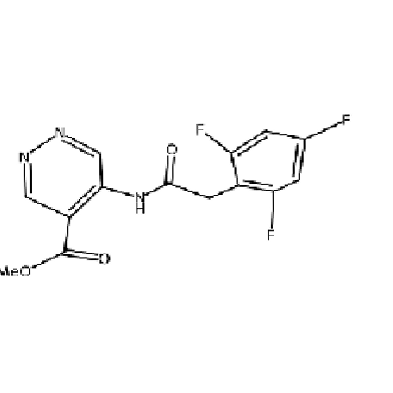 COC(=O)c1cnncc1NC(=O)Cc1c(F)cc(F)cc1F